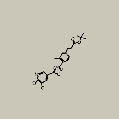 Cc1cc(CCC(=O)OC(C)(C)C)ccc1-c1noc(-c2cnc(Cl)c(Cl)c2)n1